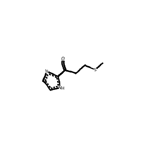 CSCCC(=O)c1ncc[nH]1